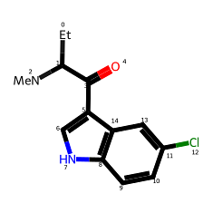 CCC(NC)C(=O)c1c[nH]c2ccc(Cl)cc12